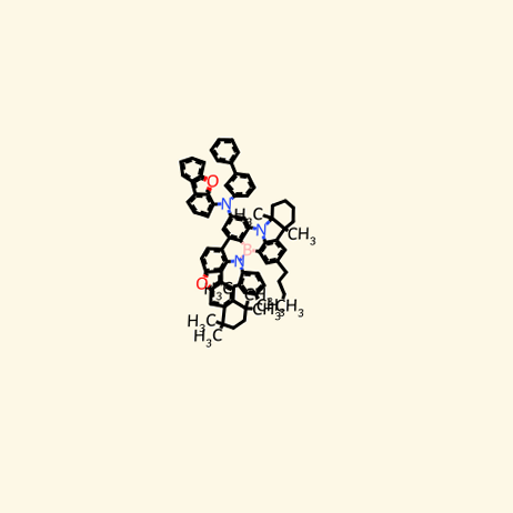 CCCCc1cc2c3c(c1)C1(C)CCCCC1(C)N3c1cc(N(c3cccc(-c4ccccc4)c3)c3cccc4c3oc3ccccc34)cc3c1B2N(c1ccc(C)cc1C)c1c-3ccc2oc3cc4c(cc3c12)C(C)(C)CCC4(C)C